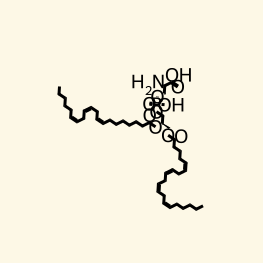 CCCCC/C=C\C/C=C\C/C=C\C/C=C\CCCC(=O)OC[C@H](COP(=O)(O)OC[C@H](N)C(=O)O)OC(=O)CCCCCC/C=C\C/C=C\C/C=C\CCCCC